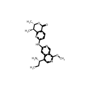 CC[C@H](N)c1cnc(OC)c2cnc(Nc3ccc4c(n3)[C@@H](C)[C@H](C)OC4=O)cc12